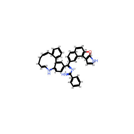 N=C(/N=C(\c1ccc2c(c1)-c1ccccc1/C=C\CC/C=C/N2)c1ccc2ccc3oc4[nH]ccc4c3c2c1)c1ccccc1